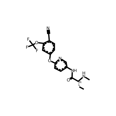 CC[C@@H](NC)C(=O)Nc1ccc(Oc2ccc(C#N)c(OC(F)(F)F)c2)nc1